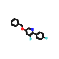 Fc1ccc(-c2ncc(OCc3ccccc3)cc2F)cc1